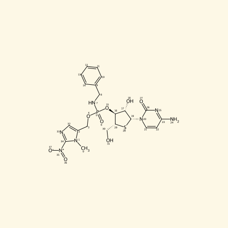 Cn1c(COP(=O)(NCc2ccccc2)O[C@H]2[C@H](O)[C@H](n3ccc(N)nc3=O)S[C@@H]2CO)cnc1[N+](=O)[O-]